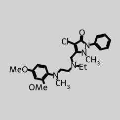 CCN(CCN(C)c1ccc(OC)cc1OC)Cc1c(Cl)c(=O)n(-c2ccccc2)n1C